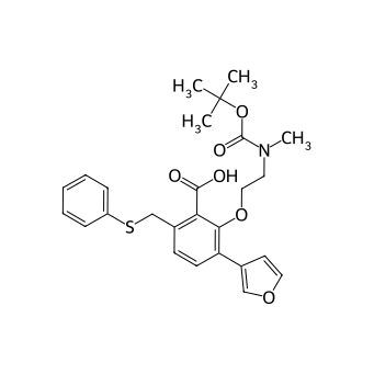 CN(CCOc1c(-c2ccoc2)ccc(CSc2ccccc2)c1C(=O)O)C(=O)OC(C)(C)C